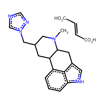 CN1CC(Cn2cncn2)CC2c3cccc4[nH]cc(c34)CC21.O=C(O)C=CC(=O)O